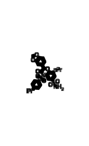 CCCc1cc(S(N)(=O)=O)ccc1OC(C(=O)NS(=O)(=O)c1ccc(C(C)C)cc1)c1ccc2c(c1)OCO2